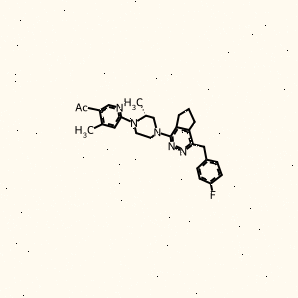 CC(=O)c1cnc(N2CCN(c3nnc(Cc4ccc(F)cc4)c4c3CCC4)C[C@H]2C)cc1C